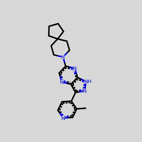 Cc1cnccc1-c1n[nH]c2nc(N3CCC4(CCCC4)CC3)cnc12